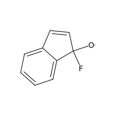 [O]C1(F)C=Cc2ccccc21